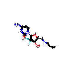 CC(C)CCNC[C@H]1O[C@@H](n2ccc(N)nc2=O)C(F)(F)[C@@H]1O